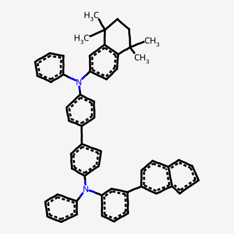 CC1(C)CCC(C)(C)c2cc(N(c3ccccc3)c3ccc(-c4ccc(N(c5ccccc5)c5cccc(-c6ccc7ccccc7c6)c5)cc4)cc3)ccc21